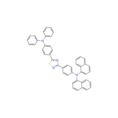 c1ccc(N(c2ccccc2)c2ccc(-c3nc(-c4ccc(N(c5cccc6ccccc56)c5cccc6ccccc56)cc4)ns3)cc2)cc1